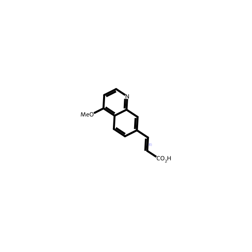 COc1ccnc2cc(/C=C/C(=O)O)ccc12